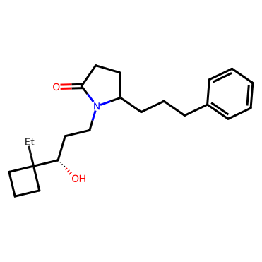 CCC1([C@@H](O)CCN2C(=O)CCC2CCCc2ccccc2)CCC1